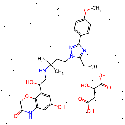 CCc1nc(-c2ccc(OC)cc2)nn1CCC(C)(C)NCC(O)c1cc(O)cc2c1OCC(=O)N2.O=C(O)CC(O)C(=O)O